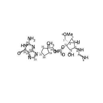 COC[C@]12C[C@@H]1[C@@H](NC=N)[C@H](O)[C@@H]2O[PH](=O)OCC1(C)CC[C@H](n2cnc3c(=O)[nH]c(N)nc32)C1